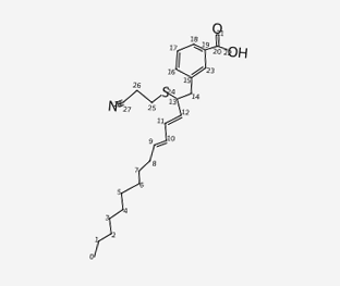 CCCCCCCCC/C=C/C=C/C(Cc1cccc(C(=O)O)c1)SCCC#N